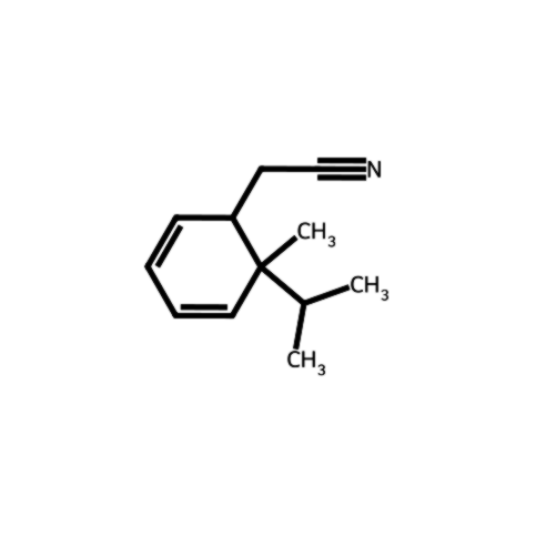 CC(C)C1(C)C=CC=CC1CC#N